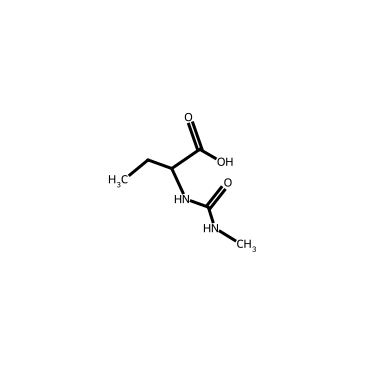 CCC(NC(=O)NC)C(=O)O